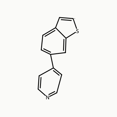 [c]1cc2ccc(-c3ccncc3)cc2s1